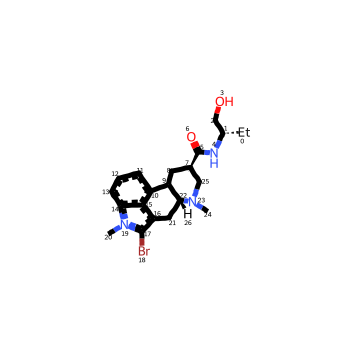 CC[C@@H](CO)NC(=O)[C@@H]1CC2c3cccc4c3c(c(Br)n4C)C[C@H]2N(C)C1